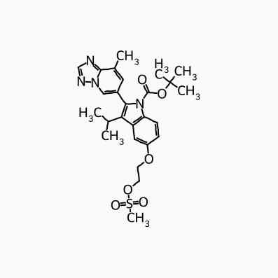 Cc1cc(-c2c(C(C)C)c3cc(OCCOS(C)(=O)=O)ccc3n2C(=O)OC(C)(C)C)cn2ncnc12